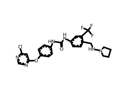 O=C(Nc1ccc(Oc2cc(Cl)ncn2)cc1)Nc1ccc(CNN2CCCC2)c(C(F)(F)F)c1